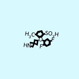 Cc1ccc(S(=O)(=O)O)cc1.Fc1ccc(F)c(OC2CC3(CNC3)C2)c1